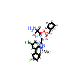 COc1ccc(F)cc1-c1cc(Cl)cn2c([C@@H](COCc3ccccc3)NC(=O)C(C)(C)N)nnc12